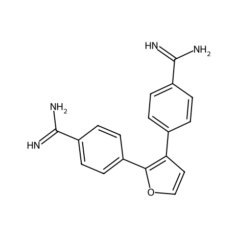 N=C(N)c1ccc(-c2ccoc2-c2ccc(C(=N)N)cc2)cc1